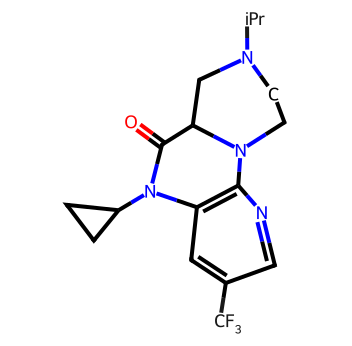 CC(C)N1CCN2c3ncc(C(F)(F)F)cc3N(C3CC3)C(=O)C2C1